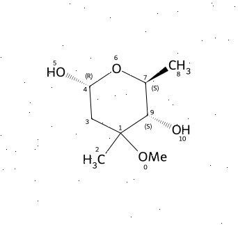 COC1(C)C[C@H](O)O[C@@H](C)[C@@H]1O